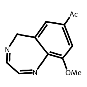 COc1cc(C(C)=O)cc2c1N=CC=NC2